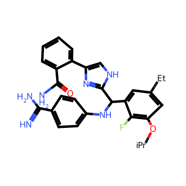 CCc1cc(OC(C)C)c(F)c(C(Nc2ccc(C(=N)N)cc2)c2nc(-c3ccccc3C(N)=O)c[nH]2)c1